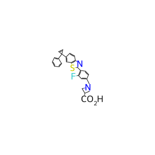 O=C(O)C1CN(Cc2ccc(-c3nc4ccc(C5(c6ccccc6)C=C5)cc4s3)c(F)c2)C1